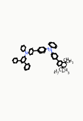 CC1(C)CCC(C)(C)c2cc(-c3ccc(N(c4ccccc4)c4ccc(-c5ccc(N(c6ccccc6)c6cc(-c7ccccc7)cc(-c7ccccc7)c6)cc5)cc4)cc3)ccc21